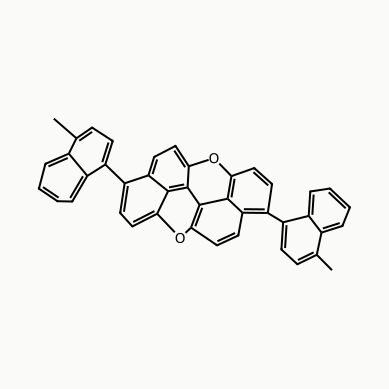 Cc1ccc(-c2ccc3oc4ccc5c(-c6ccc(C)c7ccccc67)ccc6oc7ccc2c3c7-c4c65)c2ccccc12